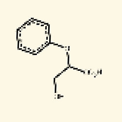 O=C(O)C(CO)Oc1ccccc1